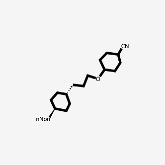 CCCCCCCCC[C@H]1CC[C@H](CCCOC2CCC(C#N)CC2)CC1